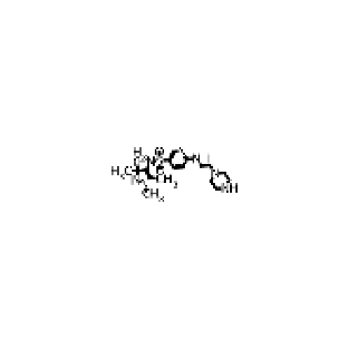 CC1=C(NS(=O)(=O)c2ccc(NCCN3CCNCC3)nc2)C(C)(C)NN1C